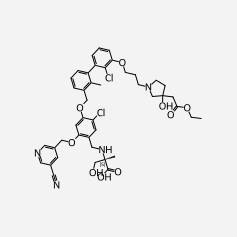 CCOC(=O)CC1(O)CCN(CCCOc2cccc(-c3cccc(COc4cc(OCc5cncc(C#N)c5)c(CN[C@@](C)(CO)C(=O)O)cc4Cl)c3C)c2Cl)C1